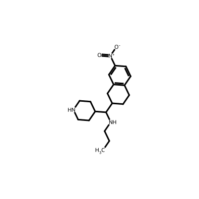 CCCNC(C1CCNCC1)C1CCc2ccc([N+](=O)[O-])cc2C1